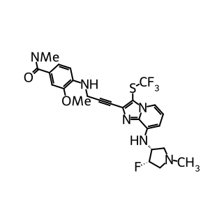 CNC(=O)c1ccc(NCC#Cc2nc3c(N[C@@H]4CN(C)C[C@@H]4F)cccn3c2SC(F)(F)F)c(OC)c1